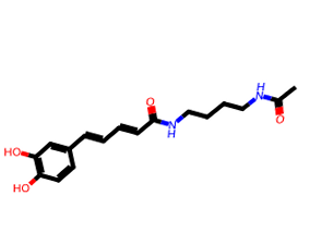 CC(=O)NCCCCNC(=O)C=CC=Cc1ccc(O)c(O)c1